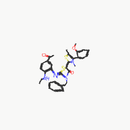 CCNc1ccc(C(C)=O)cc1N=C1SC(=C2SC(C)=C(c3ccccc3OC)N2C)C(=O)N1Cc1ccccc1